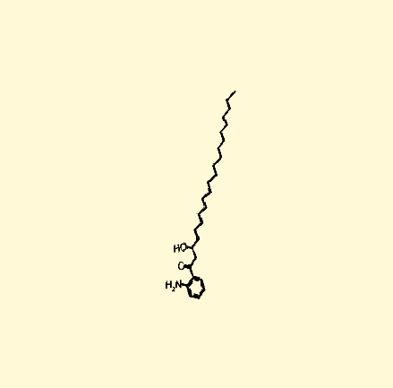 CCCCCCCCCCCCCCCCCCCC(O)CC(=O)c1ccccc1N